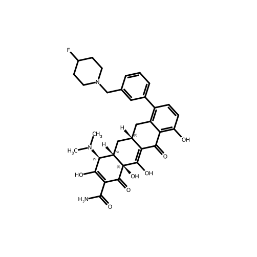 CN(C)[C@@H]1C(O)=C(C(N)=O)C(=O)[C@@]2(O)C(O)=C3C(=O)c4c(O)ccc(-c5cccc(CN6CCC(F)CC6)c5)c4C[C@H]3C[C@@H]12